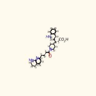 O=C(O)C[C@H](C1CCN(C(=O)CCCc2ccc3c(n2)NCCC3)CC1)[C@@H]1CNc2ccccc2C1